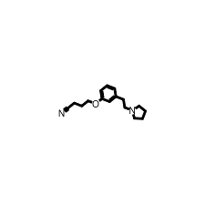 N#CCCCOc1cccc(CCN2CCCC2)c1